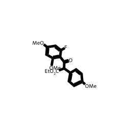 CCOC(=O)C(C(=O)c1c(F)cc(OC)cc1OC)c1ccc(OC)cc1